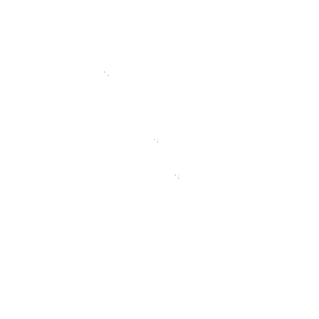 O=C(NCCc1c[nH]c2ccccc12)c1cc(Cc2cc(F)ccc2F)on1